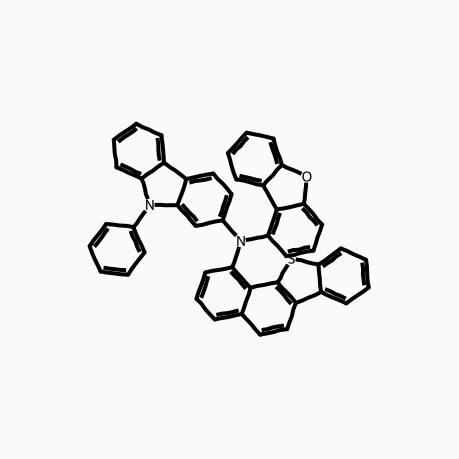 c1ccc(-n2c3ccccc3c3ccc(N(c4cccc5oc6ccccc6c45)c4cccc5ccc6c7ccccc7sc6c45)cc32)cc1